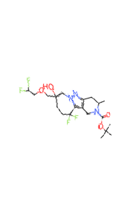 CC1Cc2nn3c(c2CN1C(=O)OC(C)(C)C)C(F)(F)CCC(O)(COCC(F)F)C3